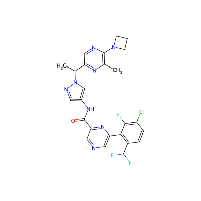 Cc1nc(C(C)n2cc(NC(=O)c3cncc(-c4c(C(F)F)ccc(Cl)c4F)n3)cn2)cnc1N1CCC1